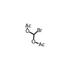 CC(=O)OC(Br)OC(C)=O